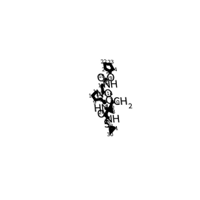 C=CC1CC1(NC(=O)C1CCCN1C(=O)CNC(=O)OC1CCCC1)C(=O)NSC1CC1